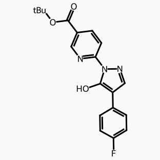 CC(C)(C)OC(=O)c1ccc(-n2ncc(-c3ccc(F)cc3)c2O)nc1